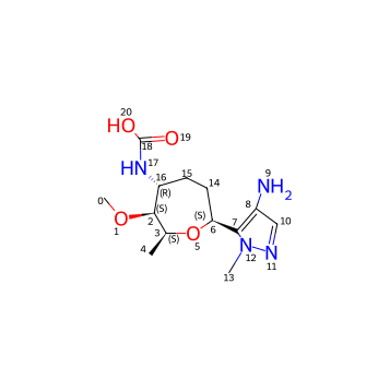 CO[C@@H]1[C@H](C)O[C@H](c2c(N)cnn2C)CC[C@H]1NC(=O)O